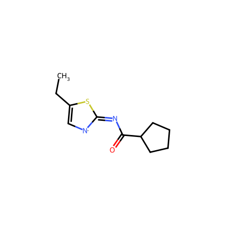 CCC1=C[N]C(=NC(=O)C2CCCC2)S1